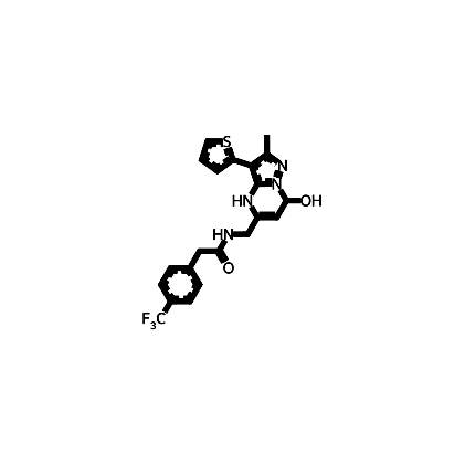 Cc1nn2c(c1-c1cccs1)NC(CNC(=O)Cc1ccc(C(F)(F)F)cc1)=CC2O